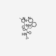 Cc1cc(C(=O)NC(Cc2ccccc2)C(=O)C(=O)NC2CC2)n(-c2ccccn2)n1